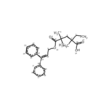 CCC(C)(CC(C)(C)C(=O)OCC=C(c1ccccc1)c1ccccc1)C(=O)O